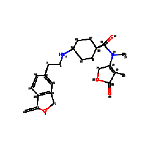 C=C1OCc2cc(CCNC3CCC(C(=O)N(CC)C4=C(C)C(=O)OC4)CC3)ccc21